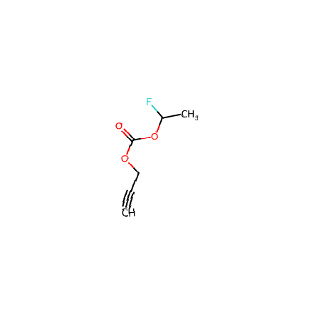 C#CCOC(=O)OC(C)F